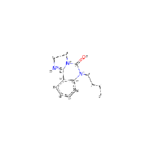 CCCCN1C(=O)N2CCN=C2c2ccccc21